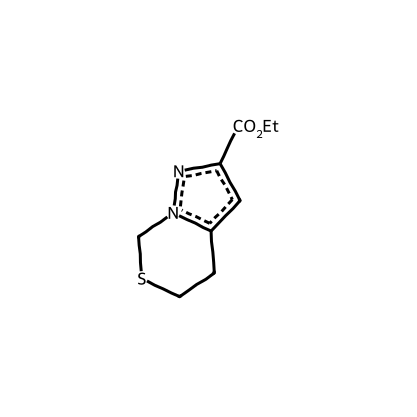 CCOC(=O)c1cc2n(n1)CSCC2